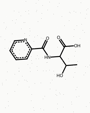 CC(O)C(NC(=O)c1ccccn1)C(=O)O